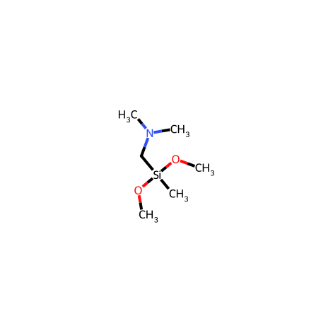 CO[Si](C)(CN(C)C)OC